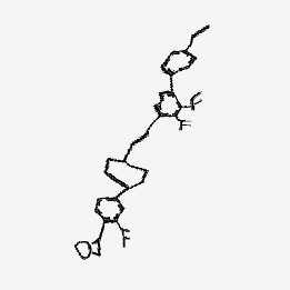 CCc1ccc(-c2ccc(CCC3CC=C(c4ccc(C5CO5)c(F)c4)CC3)c(F)c2F)cc1